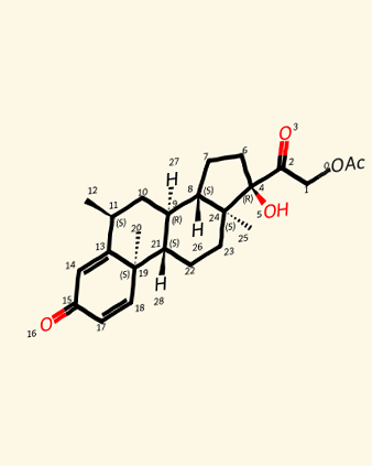 CC(=O)OCC(=O)[C@@]1(O)CC[C@H]2[C@@H]3C[C@H](C)C4=CC(=O)C=C[C@]4(C)[C@H]3CC[C@@]21C